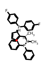 C[C@@H](C1=CC=CC1=[PH](c1ccc(F)cc1)c1ccc(F)cc1)N(C)P(c1ccccc1)c1ccccc1